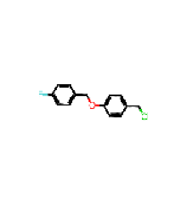 Fc1ccc(COc2ccc(CCl)cc2)cc1